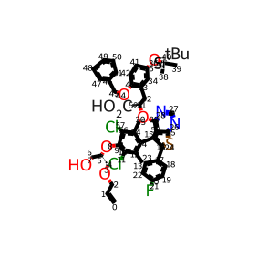 C=CCOC[C@H](CO)Oc1c(Cl)c(C)c(-c2c(-c3ccc(F)cc3)sc3ncnc(O[C@H](Cc4cc(O[Si](C)(C)C(C)(C)C)ccc4OCc4ccccc4)C(=O)O)c23)c(C)c1Cl